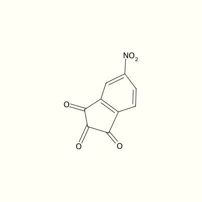 O=c1c(=O)c2ccc([N+](=O)[O-])cc2c1=O